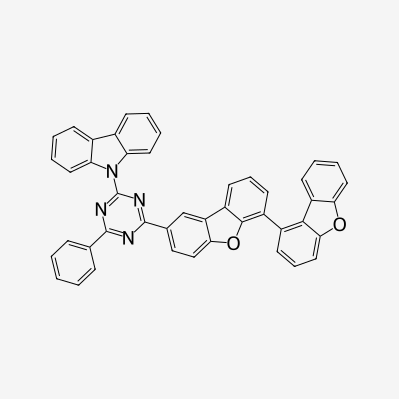 c1ccc(-c2nc(-c3ccc4oc5c(-c6cccc7oc8ccccc8c67)cccc5c4c3)nc(-n3c4ccccc4c4ccccc43)n2)cc1